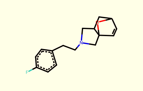 Fc1ccc(CCN2CC3CC4C=CC3(C2)O4)cc1